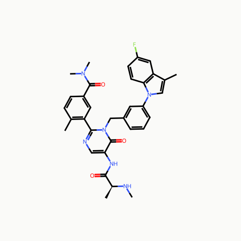 CN[C@@H](C)C(=O)Nc1cnc(-c2cc(C(=O)N(C)C)ccc2C)n(Cc2cccc(-n3cc(C)c4cc(F)ccc43)c2)c1=O